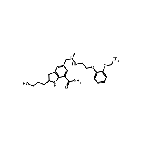 C[C@H](Cc1cc2c(c(C(N)=O)c1)NC(CCCO)C2)NCCOc1ccccc1OCC(F)(F)F